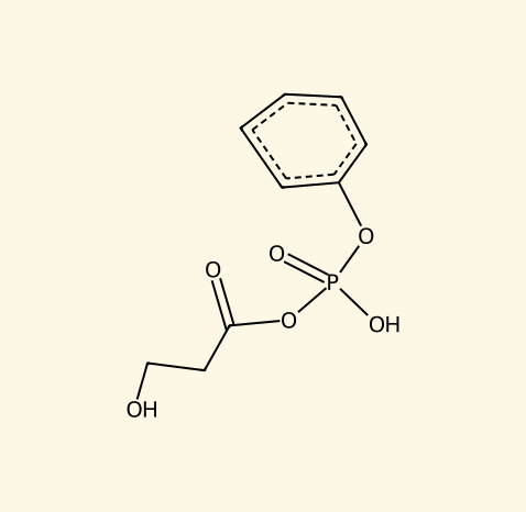 O=C(CCO)OP(=O)(O)Oc1ccccc1